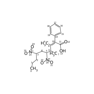 CCCC(CC(C(C)C(C)=C(C(=O)O)c1ccccc1)[N+](=O)[O-])[N+](=O)[O-]